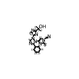 CC(C)(O)c1noc(N2C=NC3c4ccccc4N4C(=CN(C#N)C4F)N32)n1